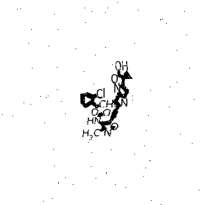 Cc1noc(C#CC2=CC3=NC(C4(C(=O)O)CC4)=CC3=N2)c1NC(=O)OC(C)c1ccccc1Cl